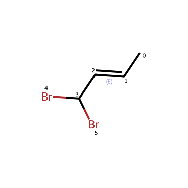 C/C=C/C(Br)Br